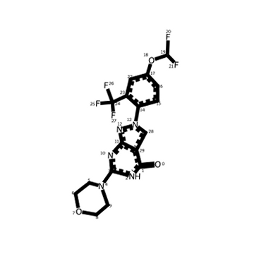 O=c1[nH]c(N2CCOCC2)nc2nn(-c3ccc(OC(F)F)cc3C(F)(F)F)cc12